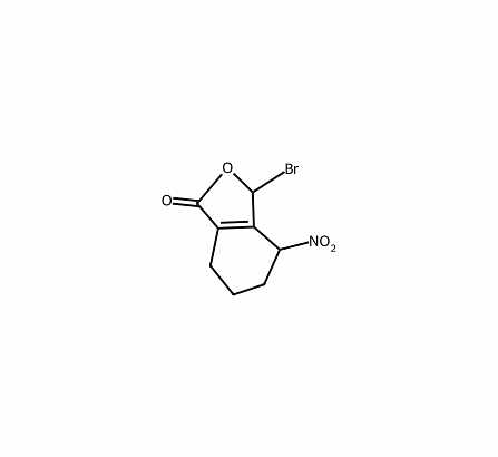 O=C1OC(Br)C2=C1CCCC2[N+](=O)[O-]